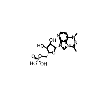 CC1=NN(C)c2ccnc3c2[n+]1cn3[C@@H]1O[C@H](COP(=O)(O)O)[C@@H](O)C1O